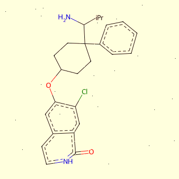 CC(C)C(N)C1(c2ccccc2)CCC(Oc2cc3cc[nH]c(=O)c3cc2Cl)CC1